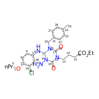 CCCOc1ccc(NC2N(N)C(=O)N(CCCC(=O)OCC)C(=O)N2Cc2ccc(C)cc2)cc1Cl